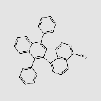 Bc1ccc2c3c(cccc13)-c1c-2c(-c2ccccc2)c2ccccc2c1-c1ccccc1